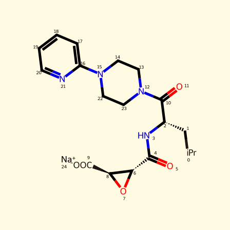 CC(C)C[C@H](NC(=O)[C@@H]1O[C@H]1C(=O)[O-])C(=O)N1CCN(c2ccccn2)CC1.[Na+]